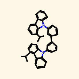 CC(C)c1cccc2c1c1ccccc1n2-c1cccc(-c2cccc(-n3c4ccccc4c4cccc(C(C)C)c43)c2)c1